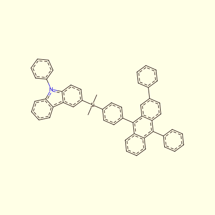 C[Si](C)(c1ccc(-c2c3ccccc3c(-c3ccccc3)c3ccc(-c4ccccc4)cc23)cc1)c1ccc2c(c1)c1ccccc1n2-c1ccccc1